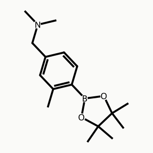 Cc1cc(CN(C)C)ccc1B1OC(C)(C)C(C)(C)O1